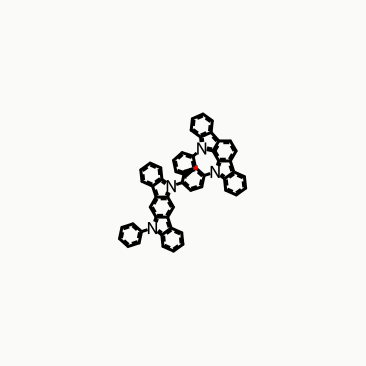 c1ccc(-n2c3ccccc3c3cc4c(cc32)c2ccccc2n4-c2ccc(-n3c4ccccc4c4ccc5c6ccccc6n(-c6ccccc6)c5c43)cc2)cc1